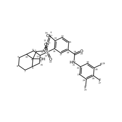 [N-]=[N+]=NCC1(O)C2CCCC1CC(S(=O)(=O)c1cc(C(=O)Nc3cc(F)c(F)c(F)c3)ccc1Cl)C2